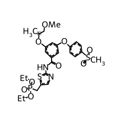 CCOP(=O)(Cc1cnc(NC(=O)c2cc(Oc3ccc(S(C)(=O)=O)cc3)cc(O[C@@H](C)COC)c2)s1)OCC